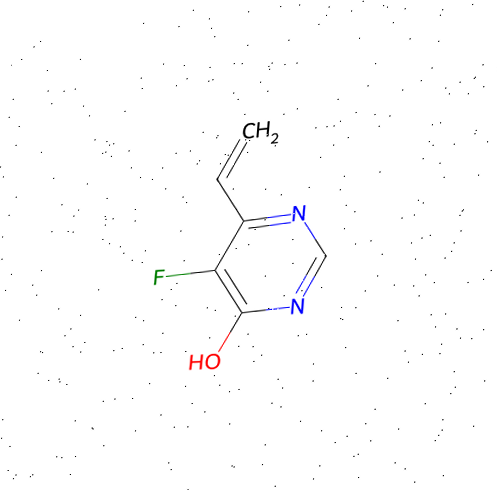 C=Cc1ncnc(O)c1F